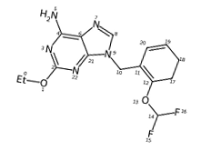 CCOc1nc(N)c2ncn(CC3=C(OC(F)F)CCC=C3)c2n1